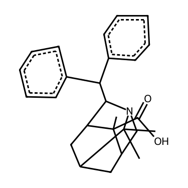 CC1(C(=O)O)C2CC3CC1C(C(c1ccccc1)c1ccccc1)N(C2)C3(C)C